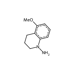 COc1cccc2c1CCCN2N